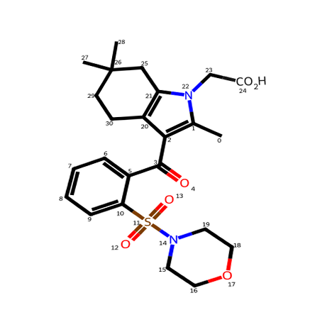 Cc1c(C(=O)c2ccccc2S(=O)(=O)N2CCOCC2)c2c(n1CC(=O)O)CC(C)(C)CC2